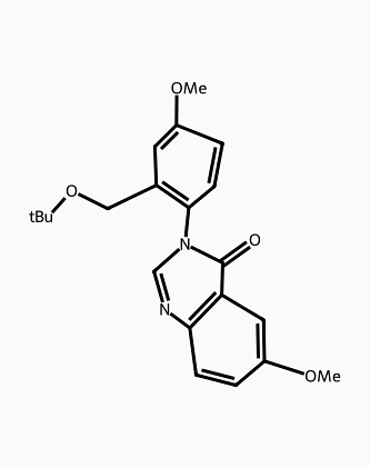 COc1ccc(-n2cnc3ccc(OC)cc3c2=O)c(COC(C)(C)C)c1